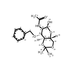 CC(=O)N[C@@H]1[C@@H](OCc2ccccc2)[C@@H]2OC(C)(C)OC[C@H]2O[C@@H]1O